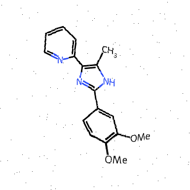 COc1ccc(-c2nc(-c3ccccn3)c(C)[nH]2)cc1OC